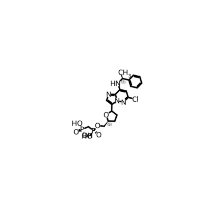 C[C@H](Nc1cc(Cl)nn2c(C3CC[C@@H](COP(=O)(O)CP(=O)(O)O)O3)cnc12)c1ccccc1